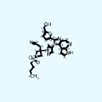 CCCCS(=O)(=O)N1CC(CC#N)(n2cc(-n3c(-c4ccc(CO)o4)nc4cnc5[nH]ccc5c43)cn2)C1